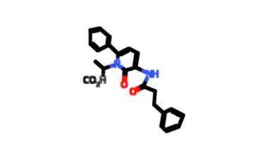 CC(C(=O)O)n1c(-c2ccccc2)ccc(NC(=O)CCc2ccccc2)c1=O